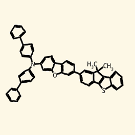 CC1(C)c2cc(-c3ccc4c(c3)oc3cc(N(c5ccc(-c6ccccc6)cc5)c5ccc(-c6ccccc6)cc5)ccc34)ccc2-c2sc3ccccc3c21